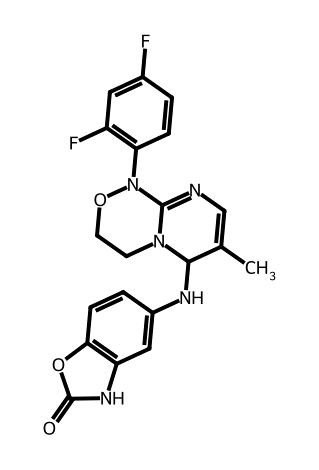 CC1=CN=C2N(c3ccc(F)cc3F)OCCN2C1Nc1ccc2oc(=O)[nH]c2c1